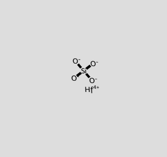 [Hf+4].[O-][Si]([O-])([O-])[O-]